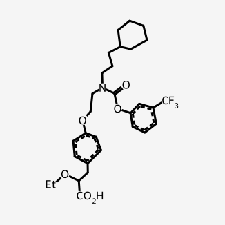 CCOC(Cc1ccc(OCCN(CCCC2CCCCC2)C(=O)Oc2cccc(C(F)(F)F)c2)cc1)C(=O)O